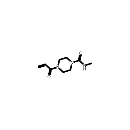 C=CC(=O)N1CCN(C(=O)NC)CC1